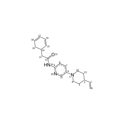 C=CC1CCN(c2ccc(NC(=O)CC3C=CC=CC3)nc2)CC1